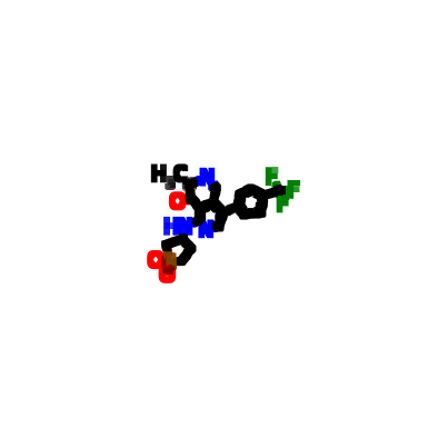 C[C@@H]1N=Cc2c(-c3ccc(C(F)(F)F)cc3)cnc(NC3CCS(=O)(=O)C3)c2C1=O